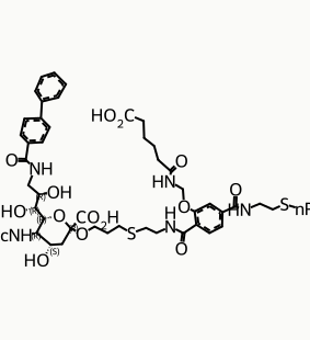 CCCSCCNC(=O)c1ccc(C(=O)NCCSCCCO[C@]2(C(=O)O)C[C@H](O)[C@@H](NC(C)=O)[C@H]([C@H](O)[C@H](O)CNC(=O)c3ccc(-c4ccccc4)cc3)O2)c(OCNC(=O)CCCCC(=O)O)c1